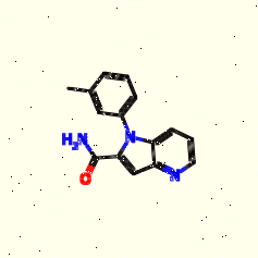 Cc1cccc(-n2c(C(N)=O)cc3ncccc32)c1